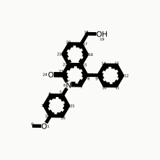 COc1ccc(-n2cc(-c3ccccc3)c3cc(CO)ccc3c2=O)cc1